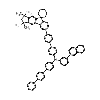 CC1(C)CC(C)(C)c2cc3c(cc21)-c1cc(-c2ccc(-c4ccc(N(c5ccc(-c6ccc(-c7ccccc7)cc6)cc5)c5cccc(-c6ccc7ccccc7c6)c5)cc4)cc2)ccc1C31CCCCC1